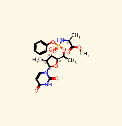 COC(=O)[C@H](C)NP(=O)(Oc1ccccc1)OC(C)[C@H]1O[C@@H](n2ccc(=O)[nH]c2=O)[C@@H](C)[C@@H]1O